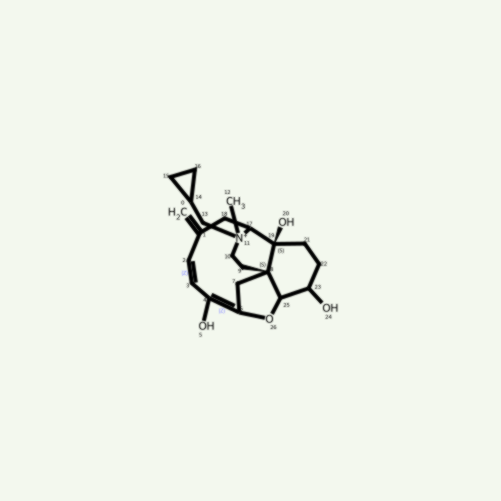 C=C1/C=C\C(O)=C2/C[C@]34CC[N+](C)(CC5CC5)C(C1)[C@]3(O)CCC(O)C4O2